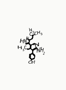 CCc1c(-c2c[nH]nc2CC(C)C)cnc(N)c1-c1ccc(O)cc1